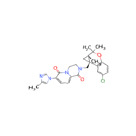 Cc1cn(-c2ccc3n(c2=O)CCN(C[C@@]24C[C@]2(C)C(C)(C)Oc2ccc(Cl)cc24)C3=O)cn1